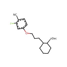 CCCCCCCCCCC1CCCCC1CCCOc1ccc(C#N)c(F)c1